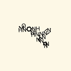 C=CC(=O)Nc1ccc2[nH]c(CNc3nc(N4CCN(C)CC4)nc4c3ncn4-c3cnn(C)c3)nc2c1